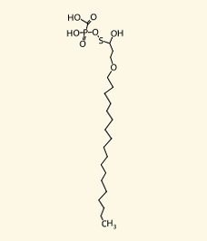 CCCCCCCCCCCCCCCCCCOCCC(O)SOP(=O)(O)C(=O)O